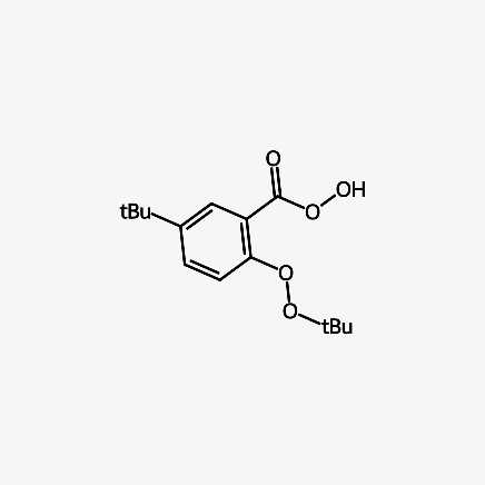 CC(C)(C)OOc1ccc(C(C)(C)C)cc1C(=O)OO